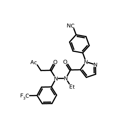 CCN(C(=O)c1ccnn1-c1ccc(C#N)cc1)N(C(=O)CC(C)=O)c1cccc(C(F)(F)F)c1